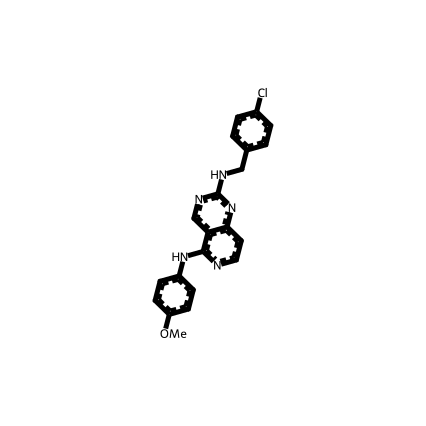 COc1ccc(Nc2nccc3nc(NCc4ccc(Cl)cc4)ncc23)cc1